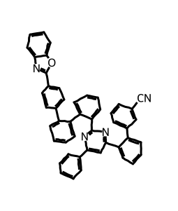 N#Cc1cccc(-c2ccccc2-c2cc(-c3ccccc3)nc(-c3ccccc3-c3ccccc3-c3ccc(-c4nc5ccccc5o4)cc3)n2)c1